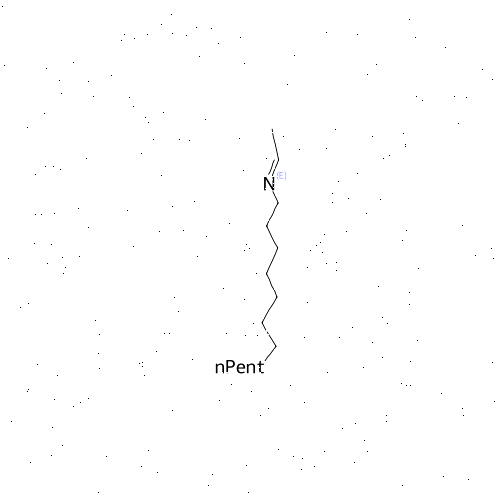 C/C=N/CCCCCCCCCCCC